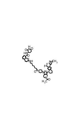 CC(=O)N1CCc2c(c(N3CCCc4cc(-c5cnn(C)c5)c(C(F)F)cc43)nn2C2CCN(C(=O)CCCCCCNc3ccc4cccc(C(=O)NC5CCC(=O)NC5=O)c4n3)CC2)C1